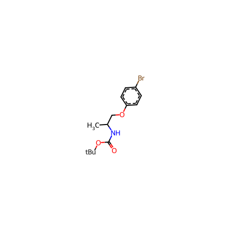 CC(COc1ccc(Br)cc1)NC(=O)OC(C)(C)C